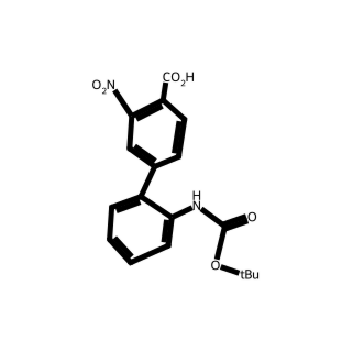 CC(C)(C)OC(=O)Nc1ccccc1-c1ccc(C(=O)O)c([N+](=O)[O-])c1